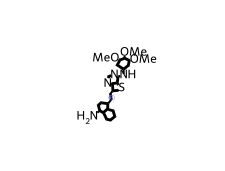 COc1cc(Nc2ncnc3c(/C=C/c4ccc(N)c5ccccc45)csc23)cc(OC)c1OC